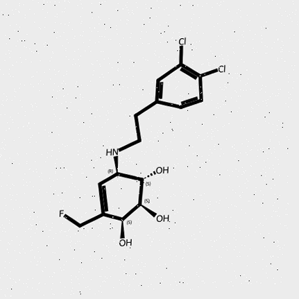 O[C@@H]1[C@@H](O)[C@@H](O)C(CF)=C[C@H]1NCCc1ccc(Cl)c(Cl)c1